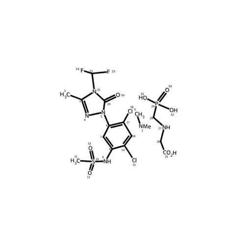 CNC.Cc1nn(-c2cc(NS(C)(=O)=O)c(Cl)cc2Cl)c(=O)n1C(F)F.O=C(O)CNCP(=O)(O)O